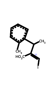 Cc1ccccc1C(C)/C(=C/I)C(=O)O